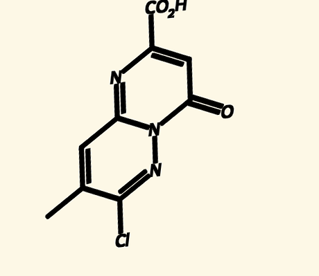 Cc1cc2nc(C(=O)O)cc(=O)n2nc1Cl